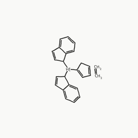 C1=CC[C]([Hf]([CH]2C=Cc3ccccc32)[CH]2C=Cc3ccccc32)=C1.C=C